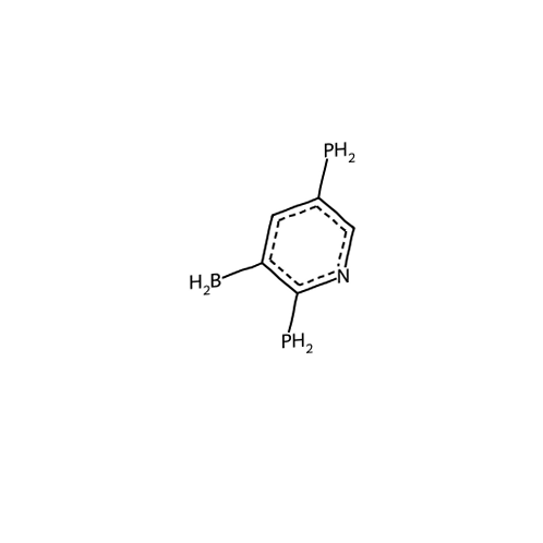 Bc1cc(P)cnc1P